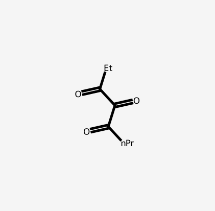 CCCC(=O)C(=O)C(=O)CC